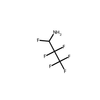 NC(F)C(F)(F)C(F)(F)F